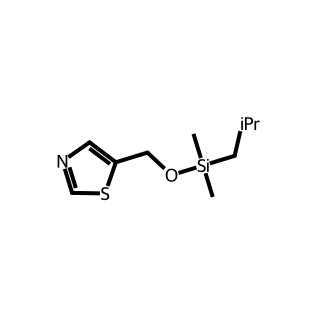 CC(C)C[Si](C)(C)OCc1cncs1